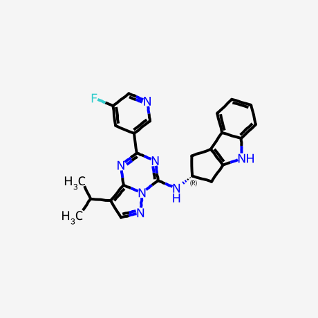 CC(C)c1cnn2c(N[C@H]3Cc4[nH]c5ccccc5c4C3)nc(-c3cncc(F)c3)nc12